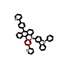 c1ccc(N(c2ccc3c(c2)c2ccccc2n3-c2ccccc2)c2cccc3c(-c4ccc(-c5ccccn5)cc4)c4ccccc4c(-c4ccc(-c5ccccn5)cc4)c23)cc1